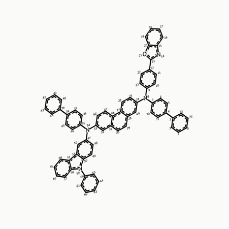 c1ccc(-c2ccc(N(c3ccc(-c4nc5ccccc5o4)cc3)c3ccc4c(ccc5cc(N(c6ccc(-c7ccccc7)cc6)c6ccc7c(c6)c6ccccc6n7-c6ccccc6)ccc54)c3)cc2)cc1